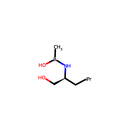 CB(O)N[C@H](CO)CC(C)C